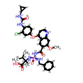 COc1cc2nccc(Oc3ccc(NC(=O)NC4CC4)c(Cl)c3)c2cc1C(=O)NP(=O)(NCc1ccccc1)NC(C)(C(=O)O)C(C)C